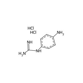 Cl.Cl.N=C(N)Nc1ccc(N)cc1